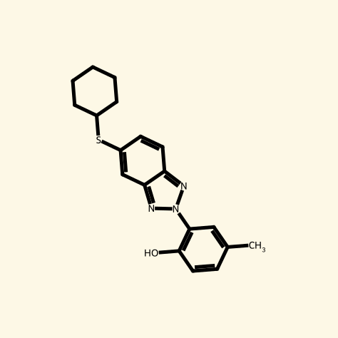 Cc1ccc(O)c(-n2nc3ccc(SC4CCCCC4)cc3n2)c1